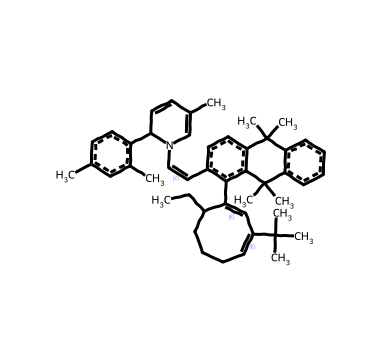 CCC1CCC/C=C(C(C)(C)C)\C=C/1c1c(/C=C\N2C=C(C)C=CC2c2ccc(C)cc2C)ccc2c1C(C)(C)c1ccccc1C2(C)C